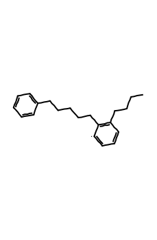 CCCCc1ccc[c]c1CCCCCc1ccccc1